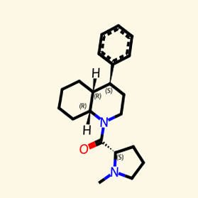 CN1CCC[C@H]1C(=O)N1CC[C@H](c2ccccc2)[C@H]2CCCC[C@H]21